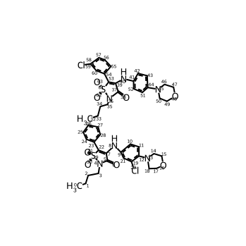 CCCCN1C(=O)C(Nc2ccc(N3CCOCC3)c(Cl)c2)=C(c2ccccc2)S1(=O)=O.CCCCN1C(=O)C(Nc2ccc(N3CCOCC3)cc2)=C(c2cccc(Cl)c2)S1(=O)=O